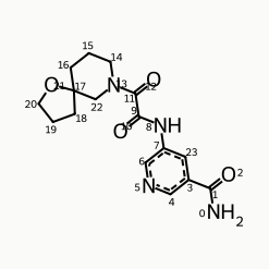 NC(=O)c1cncc(NC(=O)C(=O)N2CCCC3(CCCO3)C2)c1